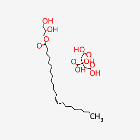 CCCCCCCC/C=C\CCCCCCCCCCCC(=O)OCC(O)CO.O=C(O)CC(O)(CC(=O)O)C(=O)O